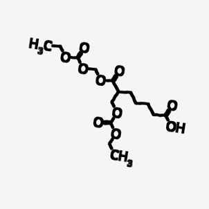 CCOC(=O)OCOC(=O)C(CCCCC(=O)O)COC(=O)OCC